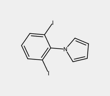 Ic1cccc(I)c1-n1cccc1